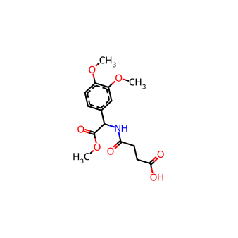 COC(=O)C(NC(=O)CCC(=O)O)c1ccc(OC)c(OC)c1